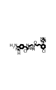 Nc1n[nH]c2cc(-c3nc(CNC(=O)C=Cc4cc(Cl)ccc4-n4cnnn4)[nH]c3Cl)ccc12